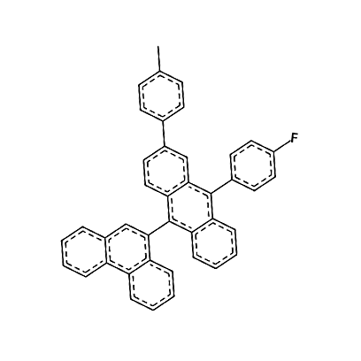 Cc1ccc(-c2ccc3c(-c4cc5ccccc5c5ccccc45)c4ccccc4c(-c4ccc(F)cc4)c3c2)cc1